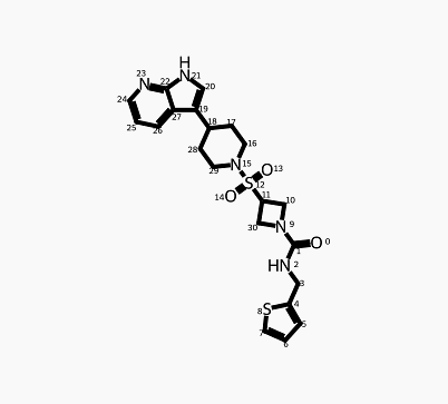 O=C(NCc1cccs1)N1CC(S(=O)(=O)N2CCC(c3c[nH]c4ncccc34)CC2)C1